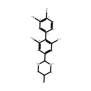 CC1COC(c2cc(F)c(-c3ccc(F)c(F)c3)c(F)c2)OC1